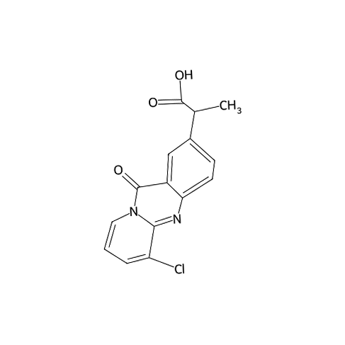 CC(C(=O)O)c1ccc2nc3c(Cl)cccn3c(=O)c2c1